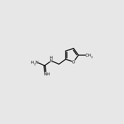 Cc1ccc(CNC(=N)N)o1